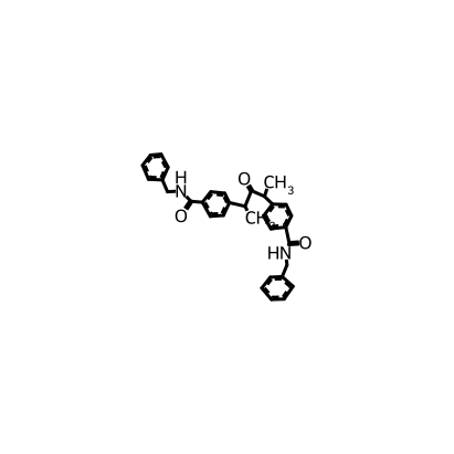 CC(C(=O)C(C)c1ccc(C(=O)NCc2ccccc2)cc1)c1ccc(C(=O)NCc2ccccc2)cc1